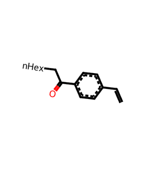 C=Cc1ccc(C(=O)CCCCCCC)cc1